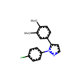 COc1ccc(-c2ccnn2-c2ccc(F)cc2)cc1OC